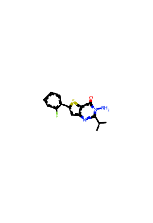 CC(C)c1nc2cc(-c3ccccc3F)sc2c(=O)n1N